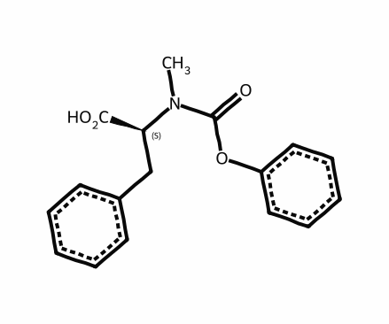 CN(C(=O)Oc1ccccc1)[C@@H](Cc1ccccc1)C(=O)O